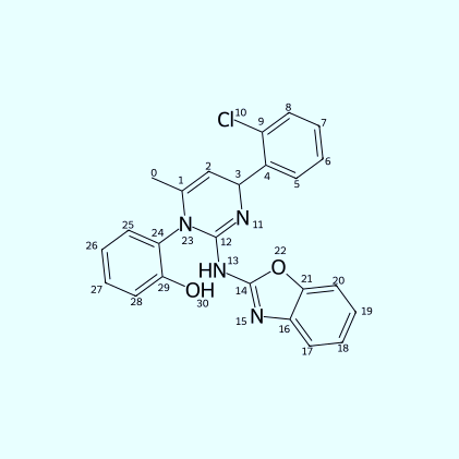 CC1=CC(c2ccccc2Cl)N=C(Nc2nc3ccccc3o2)N1c1ccccc1O